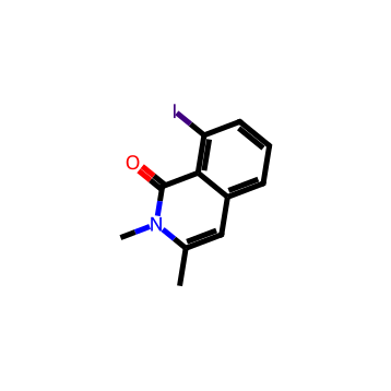 Cc1cc2cccc(I)c2c(=O)n1C